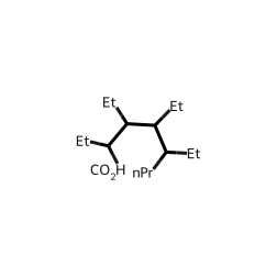 CCCC(CC)C(CC)C(CC)C(CC)C(=O)O